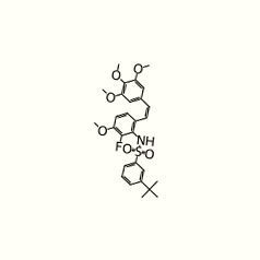 COc1ccc(/C=C\c2cc(OC)c(OC)c(OC)c2)c(NS(=O)(=O)c2cccc(C(C)(C)C)c2)c1F